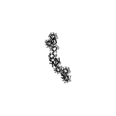 c1cc(-c2ccc3sc4nc(-c5cccc(-c6cccc7c6sc6ccccc67)c5)cnc4c3c2)cc(-c2cccc3c2oc2ccccc23)c1